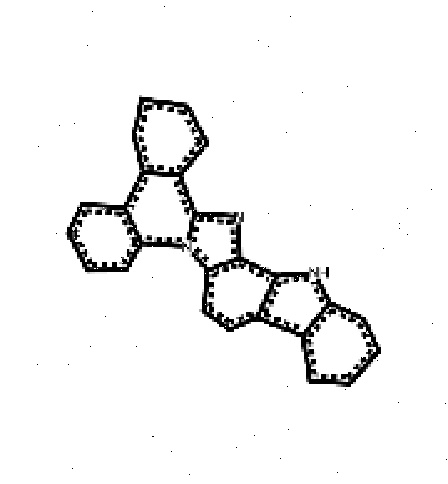 c1ccc2c(c1)[nH]c1c2ccc2c1nc1c3ccccc3c3ccccc3n21